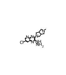 CN1CC2CN(c3nc4ncc(Cl)cc4nc3NN)CC2C1